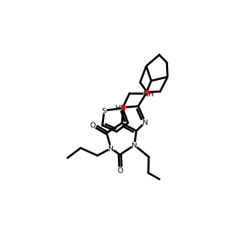 CCCn1c(=O)c2[nH]c(C3CC4CCC(C3)C4NCc3cccs3)nc2n(CCC)c1=O